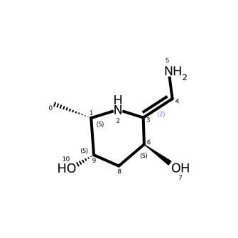 C[C@@H]1N/C(=C\N)[C@@H](O)C[C@@H]1O